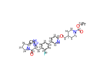 CC(C)OC(=O)N1CCC(COc2ccc(-c3ccc(CC(N)C(=O)N4CCCC4C#N)c(F)c3)cn2)CC1